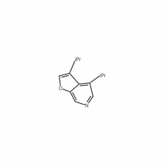 CC(C)c1cncc2occ(C(C)C)c12